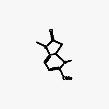 COC1=CC=C2C(CC(=O)N2C)N1C